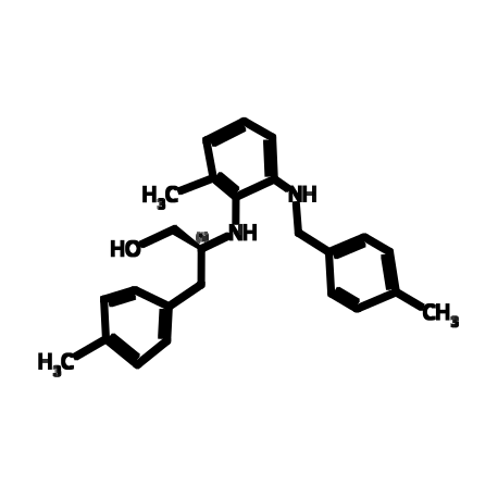 Cc1ccc(CNc2cccc(C)c2N[C@H](CO)Cc2ccc(C)cc2)cc1